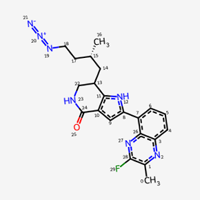 Cc1nc2cccc(-c3cc4c([nH]3)C(C[C@@H](C)CCN=[N+]=[N-])CNC4=O)c2nc1F